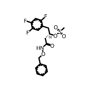 CS(=O)(=O)O[C@H](CC(=O)NOCc1ccccc1)Cc1cc(F)c(F)cc1F